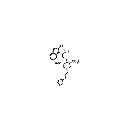 COc1ccc2ncc(Cl)c([C@@H](O)CC[C@@H]3CCN(CCSc4cccs4)C[C@@H]3C(=O)O)c2c1